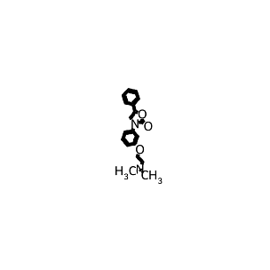 CN(C)CCOc1cccc(N2CC(c3ccccc3)OC2=O)c1